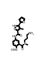 COc1ccc(NC(=O)c2n[nH]c(-c3ccco3)c2C)cc1C(=O)N(C)CCCN